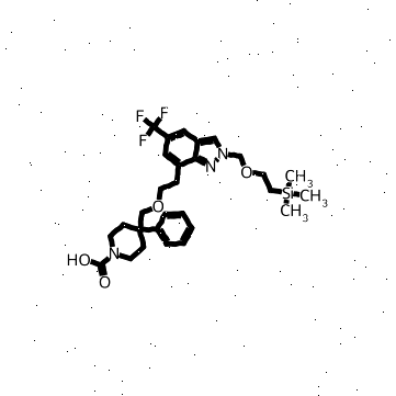 C[Si](C)(C)CCOCn1cc2cc(C(F)(F)F)cc(CCOCC3(c4ccccc4)CCN(C(=O)O)CC3)c2n1